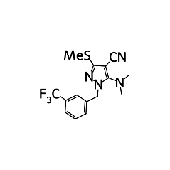 CSc1nn(Cc2cccc(C(F)(F)F)c2)c(N(C)C)c1C#N